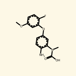 COc1ccc(F)c(Oc2ccc(N)c(N(C)C(=O)O)c2)c1